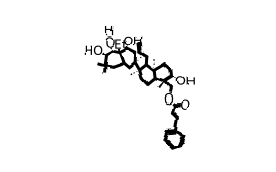 C=CCC1[C@@]2(C)CC[C@H](O)[C@](C)(COC(=O)/C=C/c3ccccc3)C2CC[C@@]1(C)[C@@]1(C)CC2CC(C)(C)[C@@H](O)[C@H](O)[C@]2(CC)[C@H](O)C1